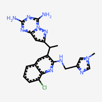 CC(c1cc2nc(N)nc(N)n2n1)c1cc2cccc(Cl)c2nc1NCc1cn(C)cn1